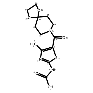 Cc1nc(NC(=O)O)sc1C(=O)N1CCC2(CC1)OCCO2